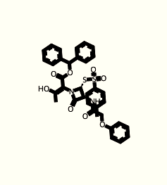 CC(O)=C(C(=O)OC(c1ccccc1)c1ccccc1)N1C(=O)[C@@H](NC(=O)COc2ccccc2)[C@H]1SS(=O)(=O)c1ccc(C)cc1